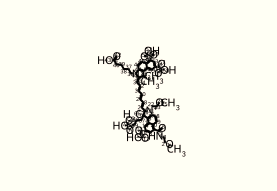 COCCNC(=O)c1cc(S(=O)(=O)O)cc2c3c(ccc12)[N+](CCOC)=C(/C=C/C=C/C=C/C=C1/N(CCCCCC(=O)O)c2ccc4c(S(=O)(=O)O)cc(S(=O)(=O)O)cc4c2C1(C)C)C3(C)CCCS(=O)(=O)O